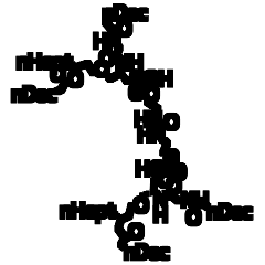 CCCCCCCCCCCC(=O)C[C@H](CCCCCCC)CCOC[C@H](COP(=O)(O)OCCNC(=O)NCCOP(=O)(O)OC[C@@H](COCC[C@@H](CCCCCCC)OC(=O)CCCCCCCCCCC)NC(=O)CNC(=O)CCCCCCCCCCC)NC(=O)CNC(=O)CCCCCCCCCCC